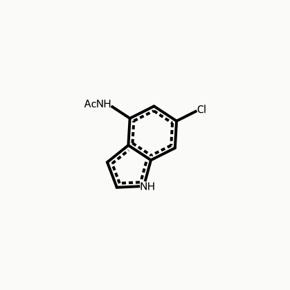 CC(=O)Nc1cc(Cl)cc2[nH]ccc12